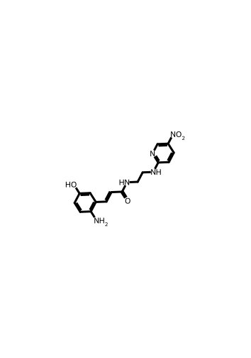 Nc1ccc(O)cc1C=CC(=O)NCCNc1ccc([N+](=O)[O-])cn1